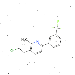 Cc1nc(-c2cccc(C(F)(F)F)c2)ccc1CCCl